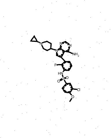 COc1ccc(S(=O)(=O)Nc2cccc(-c3cn(C4CCN(C5CC5)CC4)c4ncnc(N)c34)c2F)cc1Cl